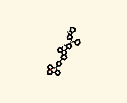 c1ccc(-c2ccccc2N(c2ccccc2)c2ccc(-c3ccc4cc5c6c(cccc6c4c3)Oc3cc(N(c4ccccc4)c4ccc6oc7ccccc7c6c4)ccc3-5)cc2)cc1